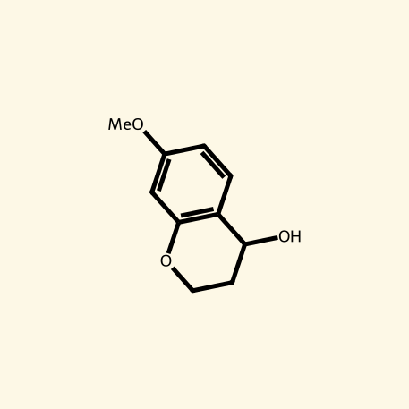 COc1ccc2c(c1)OCCC2O